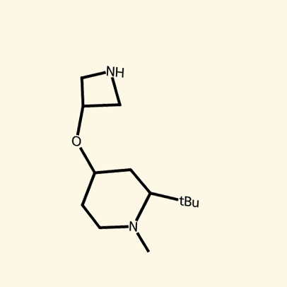 CN1CCC(OC2CNC2)CC1C(C)(C)C